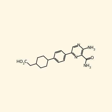 NC(=O)c1nc(-c2ccc(C3CCC(CC(=O)O)CC3)cc2)cnc1N